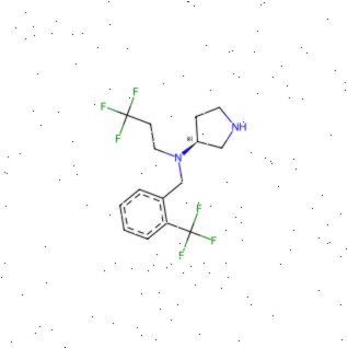 FC(F)(F)CCN(Cc1ccccc1C(F)(F)F)[C@H]1CCNC1